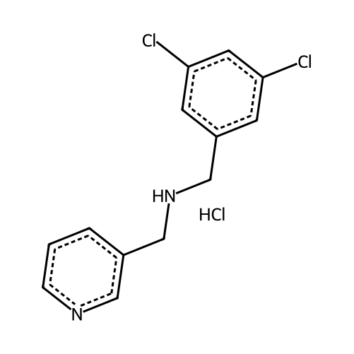 Cl.Clc1cc(Cl)cc(CNCc2cccnc2)c1